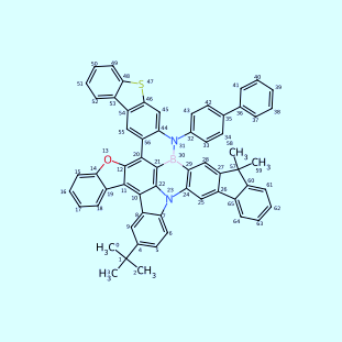 CC(C)(C)c1ccc2c(c1)c1c3c(oc4ccccc43)c3c4c1n2-c1cc2c(cc1B4N(c1ccc(-c4ccccc4)cc1)c1cc4sc5ccccc5c4cc1-3)C(C)(C)c1ccccc1-2